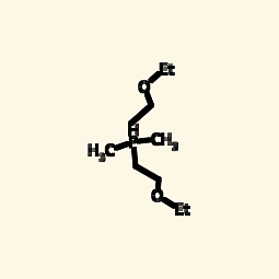 CCOCC[PH](C)(C)CCOCC